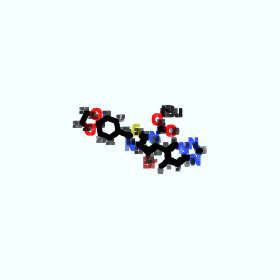 Cc1cc2ncnn2cc1-c1c(Br)c2nc(C3CCC4(CC3)OCCO4)sc2n1C(=O)OC(C)(C)C